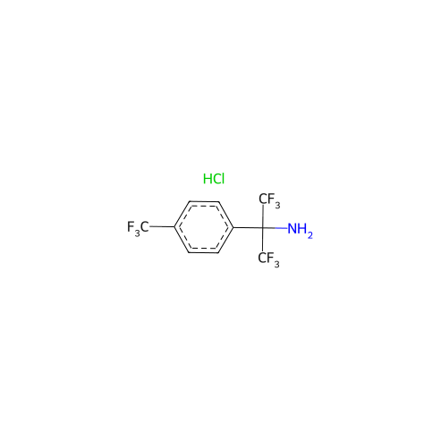 Cl.NC(c1ccc(C(F)(F)F)cc1)(C(F)(F)F)C(F)(F)F